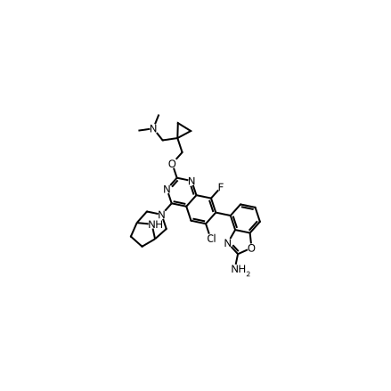 CN(C)CC1(COc2nc(N3CC4CCC(C3)N4)c3cc(Cl)c(-c4cccc5oc(N)nc45)c(F)c3n2)CC1